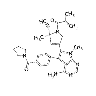 C#C[C@]1(C)C=C(c2c(-c3ccc(C(=O)N4CCCC4)cc3)c3c(N)ncnc3n2C)CN1C(=O)C(=C)C